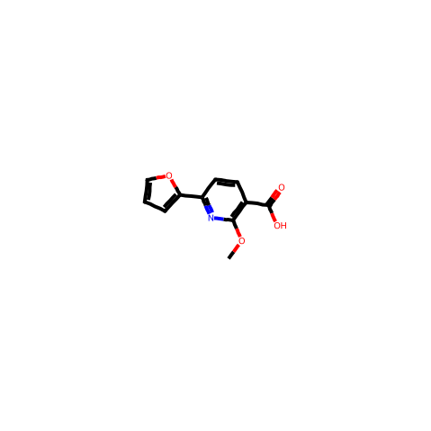 COc1nc(-c2ccco2)ccc1C(=O)O